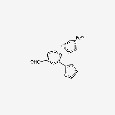 O=Cc1cccc(-c2ccc[cH-]2)c1.[Fe+2].c1cc[cH-]c1